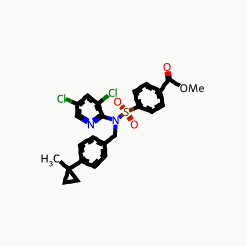 COC(=O)c1ccc(S(=O)(=O)N(Cc2ccc(C3(C)CC3)cc2)c2ncc(Cl)cc2Cl)cc1